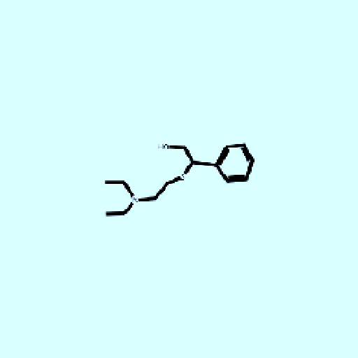 CCN(CC)CCSC(CO)c1ccccc1